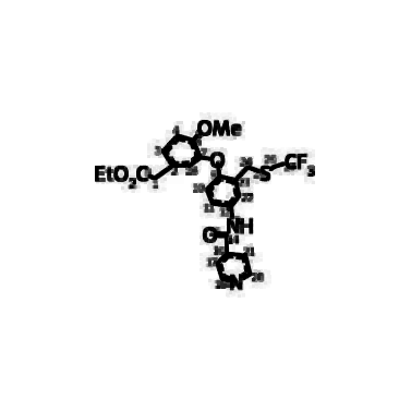 CCOC(=O)Cc1ccc(OC)c(Oc2ccc(NC(=O)c3ccncc3)cc2CSCC(F)(F)F)c1